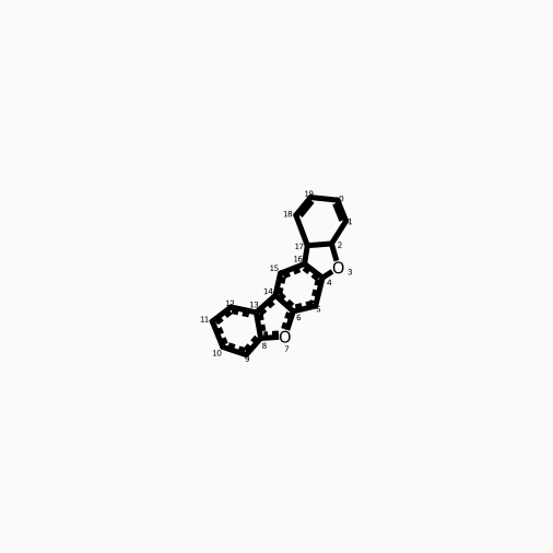 C1=CC2Oc3cc4oc5ccccc5c4cc3C2C=C1